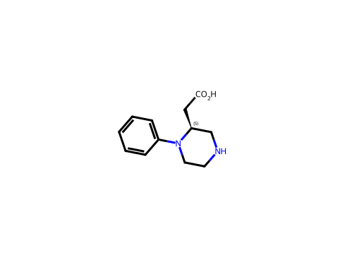 O=C(O)C[C@H]1CNCCN1c1ccccc1